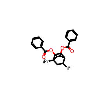 CC(C)C1CC2(C(C)C)CCC1C(OC(=O)c1ccccc1)C2OC(=O)c1ccccc1